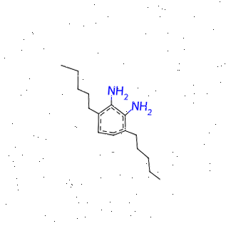 CCCCCc1ccc(CCCCC)c(N)c1N